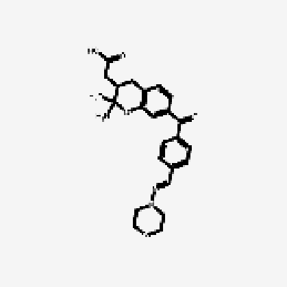 CC1(N)Oc2cc(C(=O)c3ccc(C=NN4CCSCC4)cc3)ccc2CC1CC(=O)O